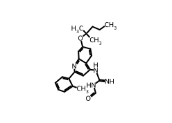 CCCC(C)(C)Oc1ccc2c(NC(=N)NC=O)cc(-c3ccccc3C)nc2c1